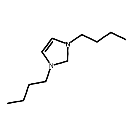 CCCCN1C=CN(CCCC)C1